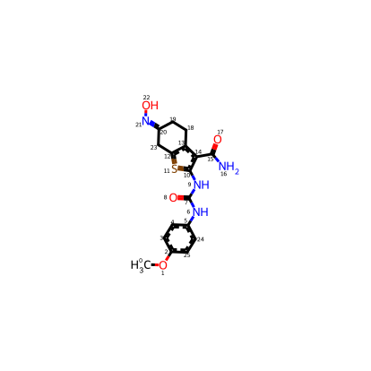 COc1ccc(NC(=O)Nc2sc3c(c2C(N)=O)CCC(=NO)C3)cc1